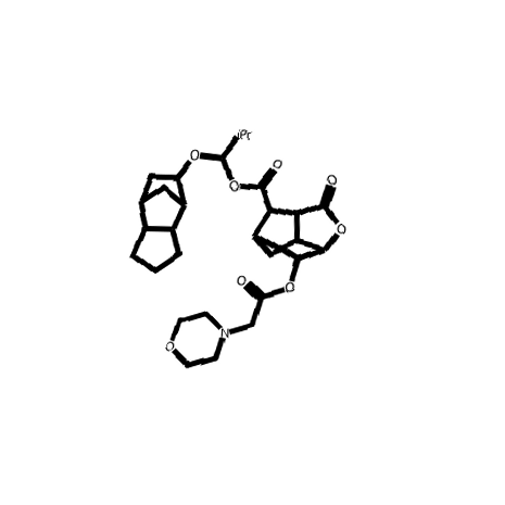 CC(C)C(OC(=O)C1C2CC3C(OC(=O)C31)C2OC(=O)CN1CCOCC1)OC1CC2CC1C1CCCC21